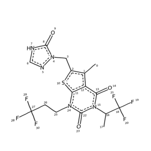 Cc1c(Cn2nc[nH]c2=O)sc2c1c(=O)n(C(C)C(F)(F)F)c(=O)n2CCC(F)(F)F